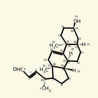 C[C@H](/C=C/C=O)C1CC[C@H]2[C@@H]3CC[C@@H]4C[C@H](O)CC[C@]4(C)C3=CC[C@]12C